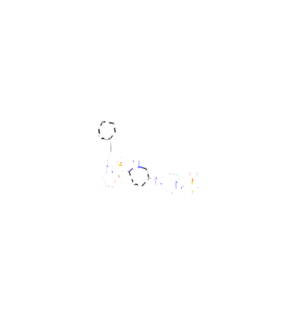 CC(C)CN(CCc1ccccc1)S(=O)(=O)c1ccc(N2CCN(S(C)(=O)=O)CC2)cn1